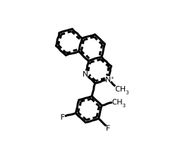 Cc1c(F)cc(F)cc1-c1nc2c(ccc3ccccc32)c[n+]1C